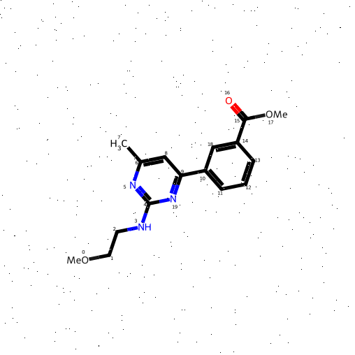 COCCNc1nc(C)cc(-c2cccc(C(=O)OC)c2)n1